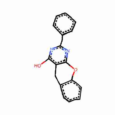 Oc1nc(-c2ccccc2)nc2c1Cc1ccccc1O2